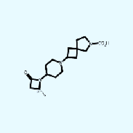 C[C@@H]1CC(=O)N1C1CCN(C2CC3(CCN(C(=O)O)C3)C2)CC1